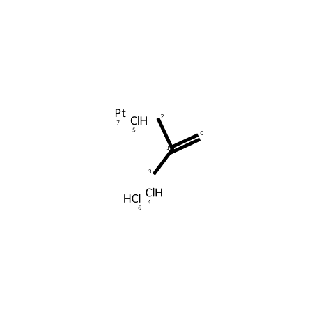 C=C(C)C.Cl.Cl.Cl.[Pt]